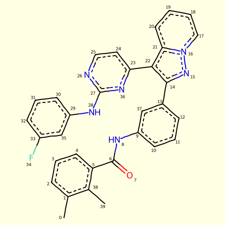 Cc1cccc(C(=O)Nc2cccc(-c3nn4ccccc4c3-c3ccnc(Nc4cccc(F)c4)n3)c2)c1C